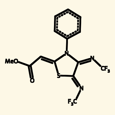 COC(=O)C=C1SC(=NC(F)(F)F)C(=NC(F)(F)F)N1c1ccccc1